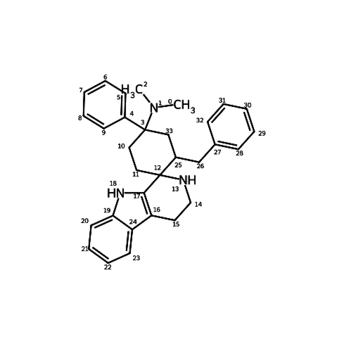 CN(C)C1(c2ccccc2)CCC2(NCCc3c2[nH]c2ccccc32)C(Cc2ccccc2)C1